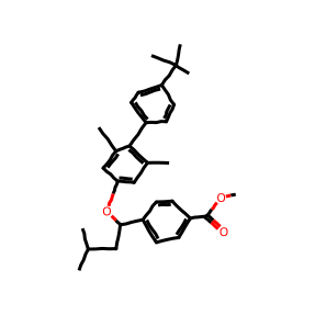 COC(=O)c1ccc(C(CC(C)C)Oc2cc(C)c(-c3ccc(C(C)(C)C)cc3)c(C)c2)cc1